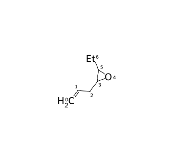 C=CCC1OC1CC